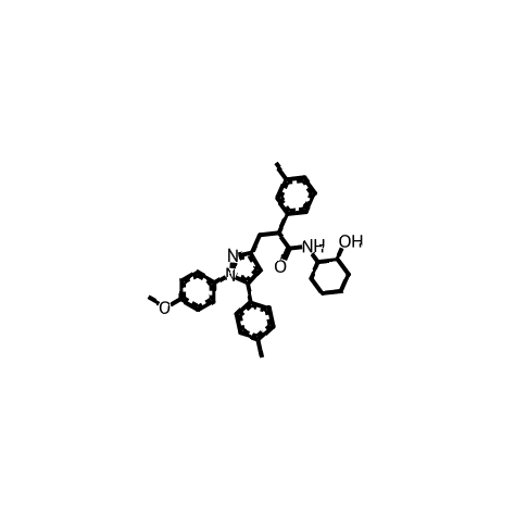 COc1ccc(-n2nc(CC(C(=O)NC3CCCCC3O)c3cccc(C)c3)cc2-c2ccc(C)cc2)cc1